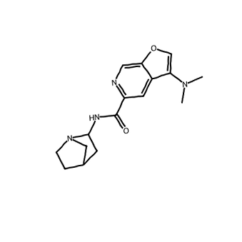 CN(C)c1coc2cnc(C(=O)NC3CC4CCN3C4)cc12